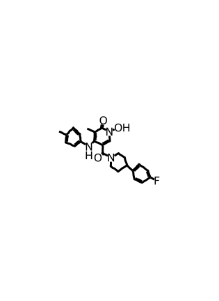 Cc1ccc(Nc2c(C(=O)N3CCC(c4ccc(F)cc4)CC3)cn(O)c(=O)c2C)cc1